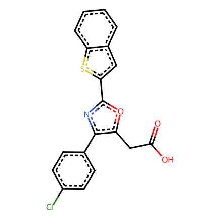 O=C(O)Cc1oc(-c2cc3ccccc3s2)nc1-c1ccc(Cl)cc1